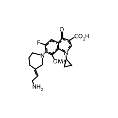 COc1c(N2CCCC(=CCN)C2)c(F)cc2c(=O)c(C(=O)O)cn(C3CC3)c12